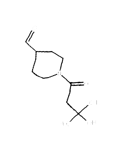 CC(C)(O)CC(=O)N1CCC([C]=O)CC1